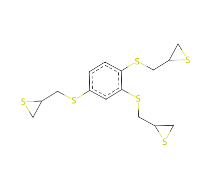 c1cc(SCC2CS2)c(SCC2CS2)cc1SCC1CS1